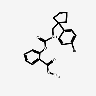 COC(=O)c1ccccc1OC(=O)NCC1(c2ccc(Br)cc2)CCCC1